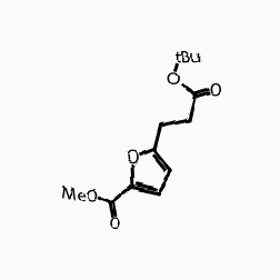 COC(=O)c1ccc(CCC(=O)OC(C)(C)C)o1